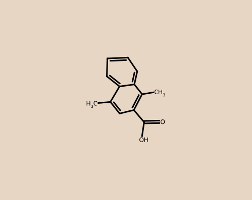 Cc1cc(C(=O)O)c(C)c2ccccc12